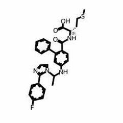 CSCC[C@H](NC(=O)c1ccc(NC(C)n2ccnc2-c2ccc(F)cc2)cc1-c1ccccc1)C(=O)O